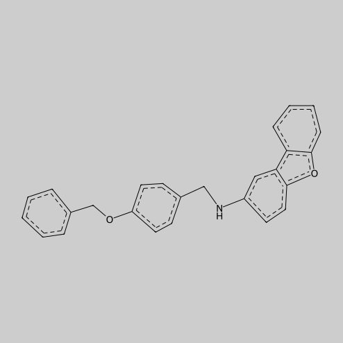 c1ccc(COc2ccc(CNc3ccc4oc5ccccc5c4c3)cc2)cc1